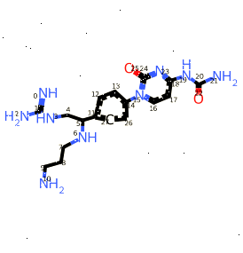 N=C(N)NCC(NCCCN)c1ccc(-n2ccc(NC(N)=O)nc2=O)cc1